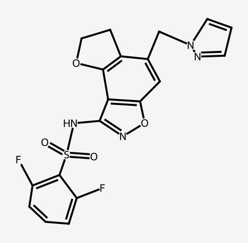 O=S(=O)(Nc1noc2cc(Cn3cccn3)c3c(c12)OCC3)c1c(F)cccc1F